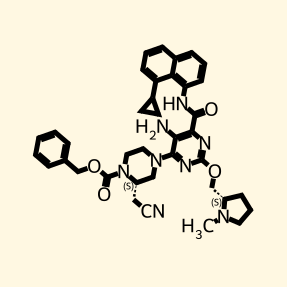 CN1CCC[C@H]1COc1nc(C(=O)Nc2cccc3cccc(C4CC4)c23)c(N)c(N2CCN(C(=O)OCc3ccccc3)[C@@H](CC#N)C2)n1